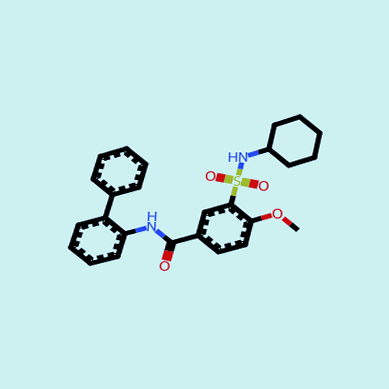 COc1ccc(C(=O)Nc2ccccc2-c2ccccc2)cc1S(=O)(=O)NC1CCCCC1